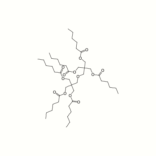 CCCCCC(=O)OCC(COCC(COC(=O)CCCCC)(COC(=O)CCCCC)COC(=O)CCCCC)(COC(=O)CCCCC)COC(=O)CCCCC